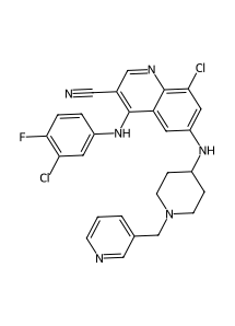 N#Cc1cnc2c(Cl)cc(NC3CCN(Cc4cccnc4)CC3)cc2c1Nc1ccc(F)c(Cl)c1